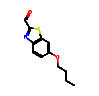 CCCCOc1ccc2nc(C=O)sc2c1